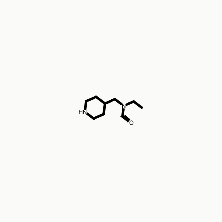 CCN([C]=O)CC1CCNCC1